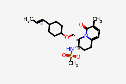 C/C=C/C1CCC(OC[C@H]2[C@@H](NS(C)(=O)=O)CCc3ccc(C)c(=O)n32)CC1